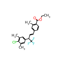 CCOC(=O)c1ccc(/C=C/C(c2cc(C)c(Cl)c(C)c2)C(F)(F)F)cc1C